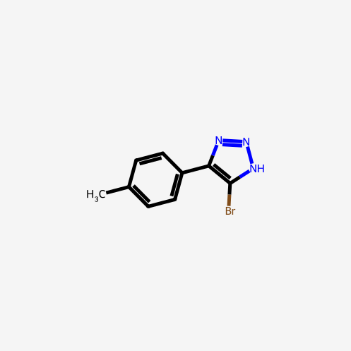 Cc1ccc(-c2nn[nH]c2Br)cc1